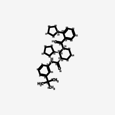 CC(C)(C)c1cccc(NC(=O)[C@H]2CCCN(C(=O)c3ccccc3N3CCCC3)[C@H]2C2CCCC2)c1